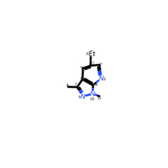 CCc1cnc2c(c1)c(C)nn2C